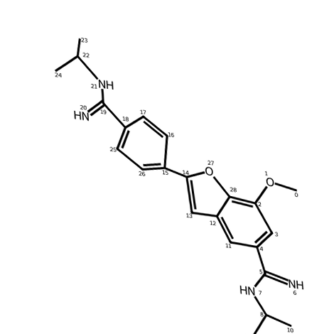 COc1cc(C(=N)NC(C)C)cc2cc(-c3ccc(C(=N)NC(C)C)cc3)oc12